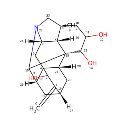 C=C1C(O)C23C[C@H]4[C@@H]5[C@@]6(C)CC(O)C(O)[C@]57C([C@H]2C[C@H]1C[C@H]37)N4C6